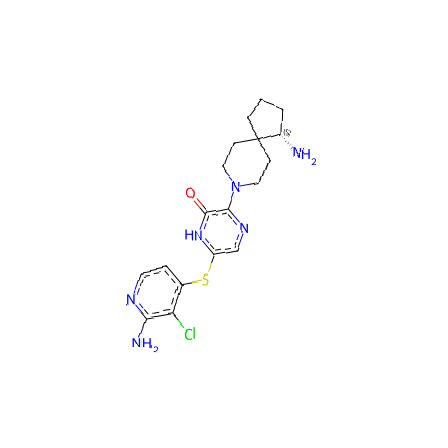 Nc1nccc(Sc2cnc(N3CCC4(CCC[C@@H]4N)CC3)c(=O)[nH]2)c1Cl